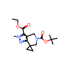 CCOC(=O)c1c2c(nn1C)C1(CC1)CN(C(=O)OC(C)(C)C)C2